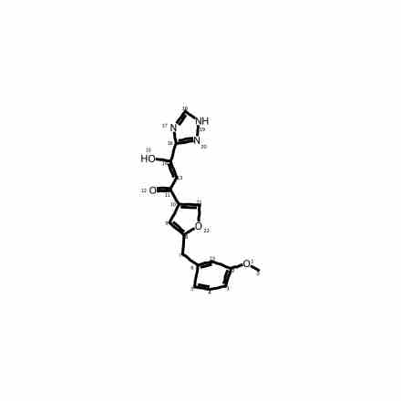 COc1cccc(Cc2cc(C(=O)C=C(O)c3nc[nH]n3)co2)c1